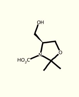 CC1(C)OC[C@H](CO)N1C(=O)O